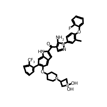 Cc1cc(-n2ncc(C(=O)c3cc4cc(OC5CCN(C6CS(O)(O)C6)CC5)c(-c5ccccc5C(F)(F)F)cc4[nH]3)c2N)ccc1Oc1ccccc1F